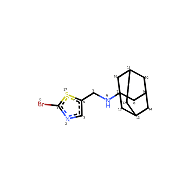 Brc1ncc(CNC23CC4CC(CC(C4)C2)C3)s1